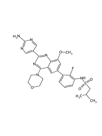 COc1cc(-c2cccc(NS(=O)(=O)CC(C)C)c2F)cc2c(N3CCOCC3)nc(-c3cnc(N)nc3)nc12